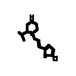 CC(C)C1CNCCN1CC=Cc1ccc(Cl)s1